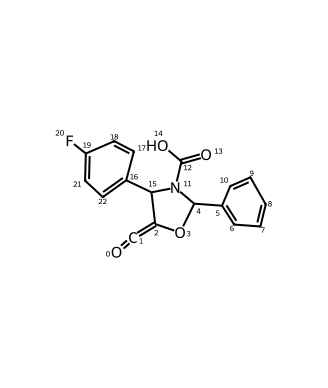 O=C=C1OC(c2ccccc2)N(C(=O)O)C1c1ccc(F)cc1